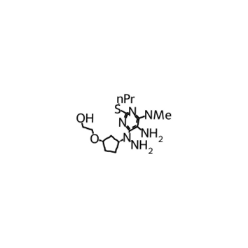 CCCSc1nc(NC)c(N)c(N(N)[C@H]2CC[C@@H](OCCO)C2)n1